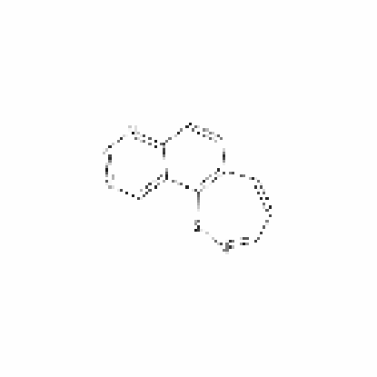 C1=Cc2ccc3ncncc3c2SN=C1